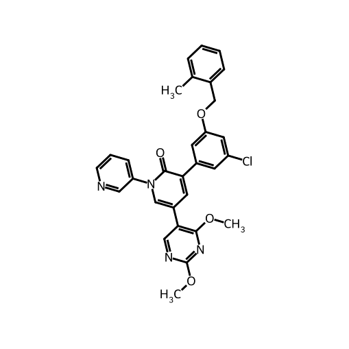 COc1ncc(-c2cc(-c3cc(Cl)cc(OCc4ccccc4C)c3)c(=O)n(-c3cccnc3)c2)c(OC)n1